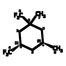 C[C@@H]1C[C@H](C(F)(F)F)CC(C)(C(F)(F)F)C1